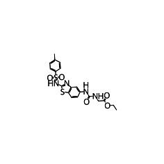 CCOC(=O)CNC(=O)Nc1ccc2sc(NS(=O)(=O)c3ccc(C)cc3)nc2c1